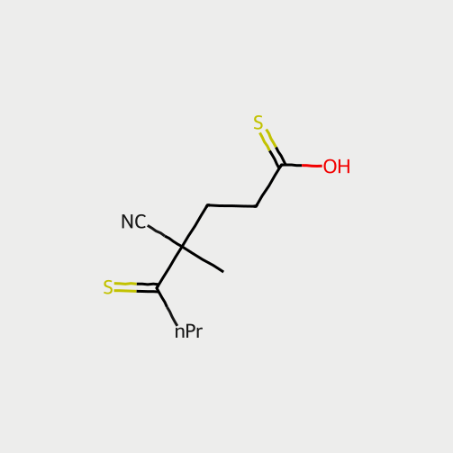 CCCC(=S)C(C)(C#N)CCC(O)=S